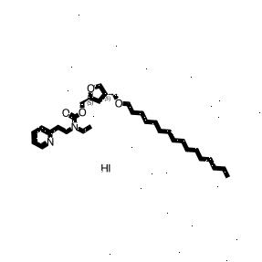 CCCCCCCCCCCCCCCCOC[C@H]1CO[C@H](COC(=O)N(CC)CCc2ccccn2)C1.I